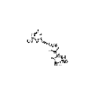 Cc1nc(C#Cc2ccnc(Cl)c2)cn1-c1cncc(=O)[nH]1